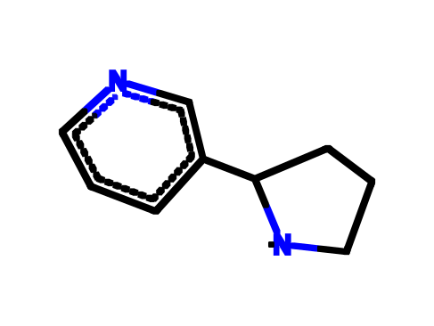 c1cncc(C2CCC[N]2)c1